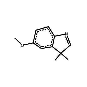 COc1ccc2c(c1)C(C)(C)[C]=N2